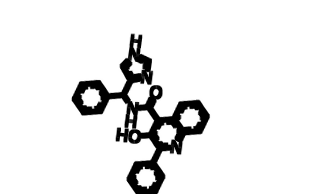 O=C(NC(c1ccccc1)c1c[nH]cn1)c1c(O)c(-c2ccccc2)nc2ccccc12